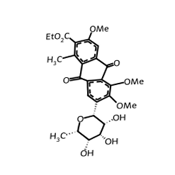 CCOC(=O)c1c(OC)cc2c(c1C)C(=O)c1cc([C@H]3O[C@@H](C)[C@@H](O)[C@@H](O)[C@H]3O)c(OC)c(OC)c1C2=O